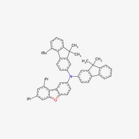 CC(C)c1cc(C(C)C)c2c(c1)oc1ccc(N(c3ccc4c(c3)C(C)(C)c3ccccc3-4)c3ccc4c(c3)C(C)(C)c3cccc(C(C)(C)C)c3-4)cc12